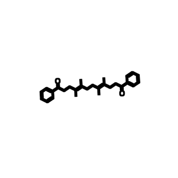 C/C(CCC(=O)c1ccccc1)=C(/C)CC/C(C)=C(\C)CCC(=O)c1ccccc1